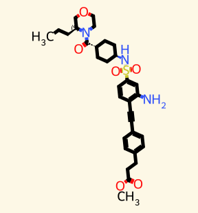 CCC[C@H]1COCCN1C(=O)[C@H]1CC[C@H](NS(=O)(=O)c2ccc(C#Cc3ccc(CCC(=O)OC)cc3)c(N)c2)CC1